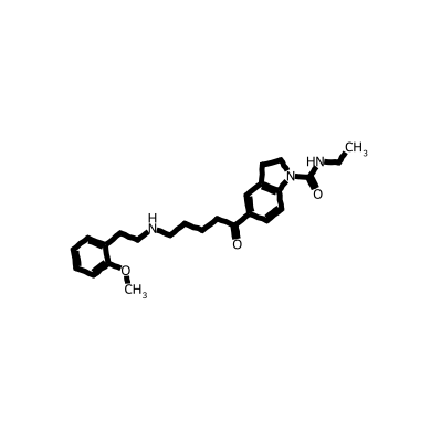 CCNC(=O)N1CCc2cc(C(=O)CCCCNCCc3ccccc3OC)ccc21